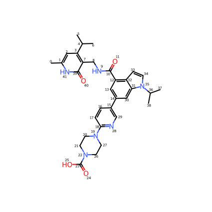 Cc1cc(C(C)C)c(CNC(=O)c2cc(-c3ccc(N4CCN(C(=O)O)CC4)nc3)cc3c2ccn3C(C)C)c(=O)[nH]1